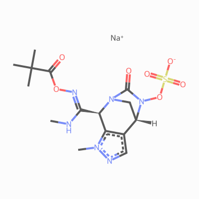 CN/C(=N\OC(=O)C(C)(C)C)[C@@H]1c2c(cnn2C)[C@@H]2CN1C(=O)N2OS(=O)(=O)[O-].[Na+]